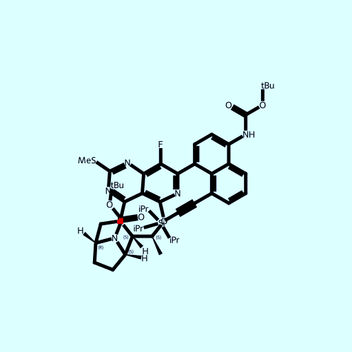 CSc1nc2c3c(nc(-c4ccc(NC(=O)OC(C)(C)C)c5cccc(C#C[Si](C(C)C)(C(C)C)C(C)C)c45)c(F)c3n1)O[C@@H](C)[C@@H]1[C@@H]3CC[C@H](CN21)N3C(=O)OC(C)(C)C